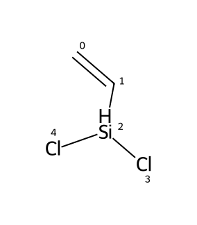 C=C[SiH](Cl)Cl